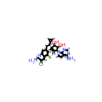 Nc1nc2cc(CC(C3CC3)[C@@]34C[C@@H]3[C@@H](n3ccc5c(N)ncnc53)[C@H](O)[C@@H]4O)cc(F)c2cc1Cl